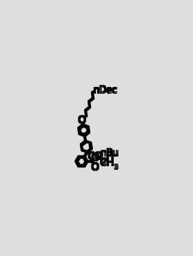 CCCCCCCCCCCCCCCCOc1ccc(C2=CCC(C(=O)O)(c3ccccc3C(=O)OC(C)CCCC)C=C2)cc1